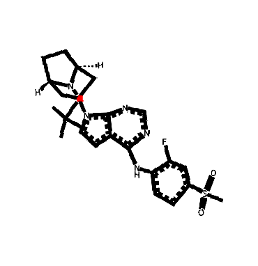 CC(C)(C)ON1[C@H]2CC[C@H]1CC(n1ccc3c(Nc4ccc(S(C)(=O)=O)cc4F)ncnc31)C2